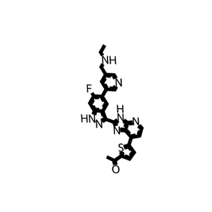 CCNCc1cncc(-c2cc3c(-c4nc5c(-c6ccc(C(C)=O)s6)ccnc5[nH]4)n[nH]c3cc2F)c1